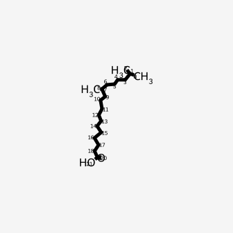 CC(C)CCCCC(C)CCCCCCCCCCC(=O)O